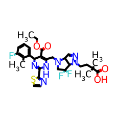 CCOC(=O)C1=C(CN2CC(F)(F)C3C2C=NN3CCC(C)(C)C(=O)O)NC(c2nccs2)=NC1c1cccc(F)c1C